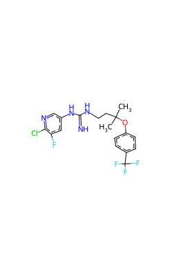 CC(C)(CCNC(=N)Nc1cnc(Cl)c(F)c1)Oc1ccc(C(F)(F)F)cc1